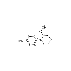 O=[N+]([O-])c1ccc(N2CCOC[C@@H]2CO)cc1